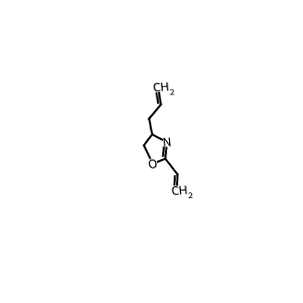 C=CCC1COC(C=C)=N1